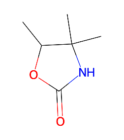 CC1OC(=O)NC1(C)C